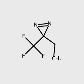 CCC1(C(F)(F)F)N=N1